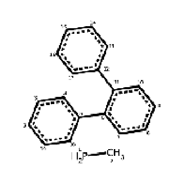 CP.c1ccc(-c2ccccc2-c2ccccc2)cc1